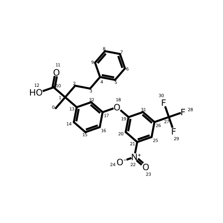 CC(CCc1ccccc1)(C(=O)O)c1cccc(Oc2cc([N+](=O)[O-])cc(C(F)(F)F)c2)c1